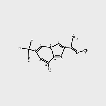 N/C(=N\O)c1cn2cc(C(F)(F)F)cc(Cl)c2n1